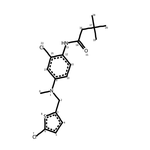 CN(Cc1ccc(Cl)s1)c1ccc(NC(=O)CC(C)(C)C)c(Cl)c1